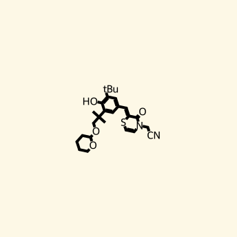 CC(C)(C)c1cc(C=C2SC=CN(CC#N)C2=O)cc(C(C)(C)COC2CCCCO2)c1O